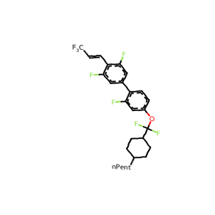 CCCCCC1CCC(C(F)(F)Oc2ccc(-c3cc(F)c(/C=C/C(F)(F)F)c(F)c3)c(F)c2)CC1